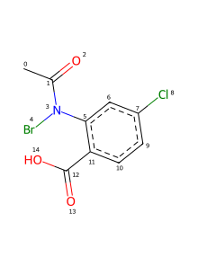 CC(=O)N(Br)c1cc(Cl)ccc1C(=O)O